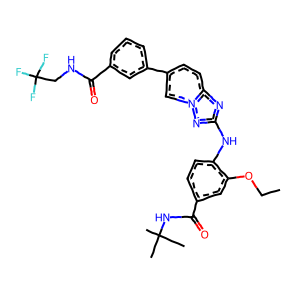 CCOc1cc(C(=O)NC(C)(C)C)ccc1Nc1nc2ccc(-c3cccc(C(=O)NCC(F)(F)F)c3)cn2n1